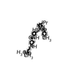 CC(C)c1cnn2c(NCc3cccc(NC(=O)[C@H]4CC[C@@H](NC/C=C/C(=O)N(C)C)CC4)c3)nc(OC3CCN(C)CC3)nc12